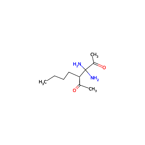 CCCCC(C(C)=O)C(N)(N)C(C)=O